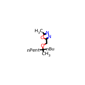 CCCCCC(C)(CCCC)OCc1nnc(C)o1